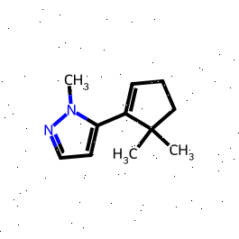 Cn1nccc1C1=CCCC1(C)C